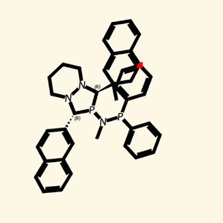 CN(P(c1ccccc1)c1ccccc1)P1[C@H](c2ccc3ccccc3c2)N2CCCCN2[C@H]1C1(C)C=c2ccccc2=CC1